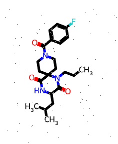 CCCN1C(=O)C(CC(C)C)NC(=O)C12CCN(C(=O)c1ccc(F)cc1)CC2